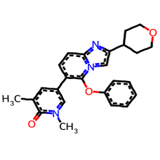 Cc1cc(-c2ccc3nc(C4CCOCC4)cn3c2Oc2ccccc2)cn(C)c1=O